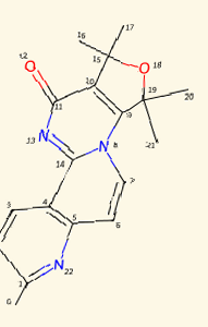 Cc1ccc2c(ccn3c4c(c(=O)nc23)C(C)(C)OC4(C)C)n1